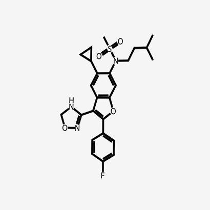 CC(C)CCN(c1cc2oc(-c3ccc(F)cc3)c(C3=NOCN3)c2cc1C1CC1)S(C)(=O)=O